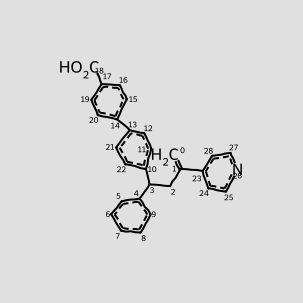 C=C(CC(c1ccccc1)c1ccc(-c2ccc(C(=O)O)cc2)cc1)c1ccncc1